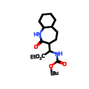 CCOC(=O)C(NC(=O)OC(C)(C)C)C1CCC2CCCCC2NC1=O